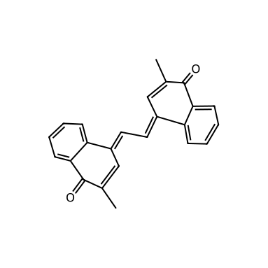 CC1=CC(=CC=C2C=C(C)C(=O)c3ccccc32)c2ccccc2C1=O